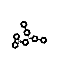 C1=CC2c3ccccc3N(c3cccc(N(c4ccc(-c5ccccc5)cc4)c4ccc(-c5ccccc5)cc4)c3)C2C=C1